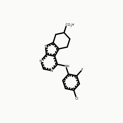 O=C(O)C1CCc2c(sc3ncnc(Nc4ccc(Cl)cc4F)c23)C1